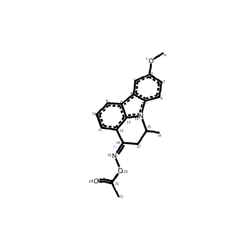 COc1ccc2c(c1)c1cccc3c1n2C(C)C/C3=N\OC(C)=O